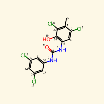 Cc1c(Cl)cc(NC(=O)Nc2cc(Cl)cc(Cl)c2)c(O)c1Cl